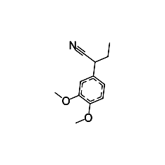 CCC(C#N)c1ccc(OC)c(OC)c1